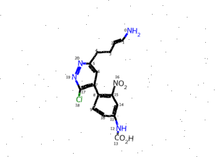 NC=CCCc1cc(-c2ccc(NC(=O)O)cc2[N+](=O)[O-])c(Cl)nn1